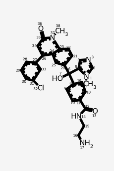 Cn1cncc1C(O)(c1ccc(C(=O)NCCN)cc1)c1ccc2c(c1)c(-c1cccc(Cl)c1)cc(=O)n2C